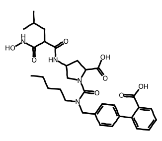 CCCCCN(Cc1ccc(-c2ccccc2C(=O)O)cc1)C(=O)N1CC(NC(=O)C(CC(C)C)C(=O)NO)CC1C(=O)O